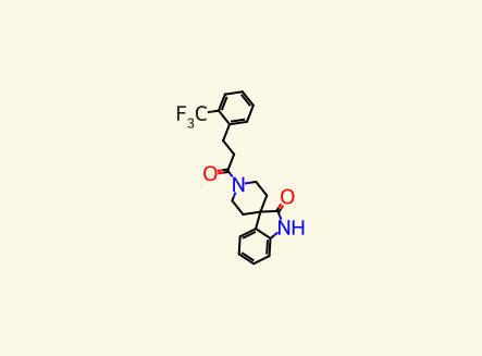 O=C(CCc1ccccc1C(F)(F)F)N1CCC2(CC1)C(=O)Nc1ccccc12